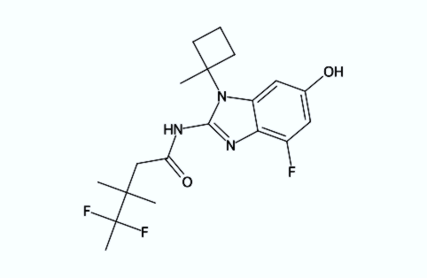 CC1(n2c(NC(=O)CC(C)(C)C(C)(F)F)nc3c(F)cc(O)cc32)CCC1